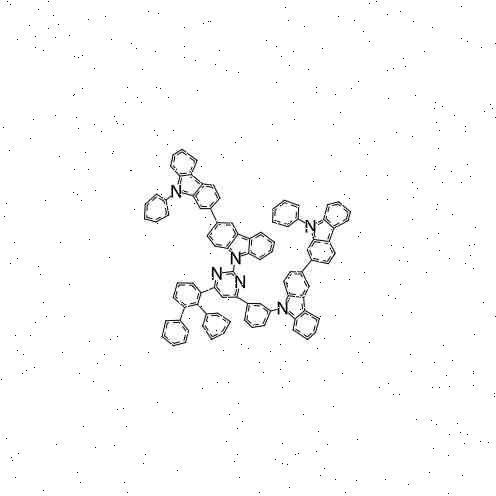 c1ccc(-c2cccc(-c3cc(-c4cccc(-n5c6ccccc6c6cc(-c7ccc8c9ccccc9n(-c9ccccc9)c8c7)ccc65)c4)nc(-n4c5ccccc5c5cc(-c6ccc7c8ccccc8n(-c8ccccc8)c7c6)ccc54)n3)c2-c2ccccc2)cc1